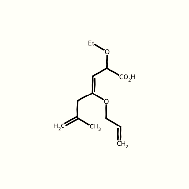 C=CCOC(=CC(OCC)C(=O)O)CC(=C)C